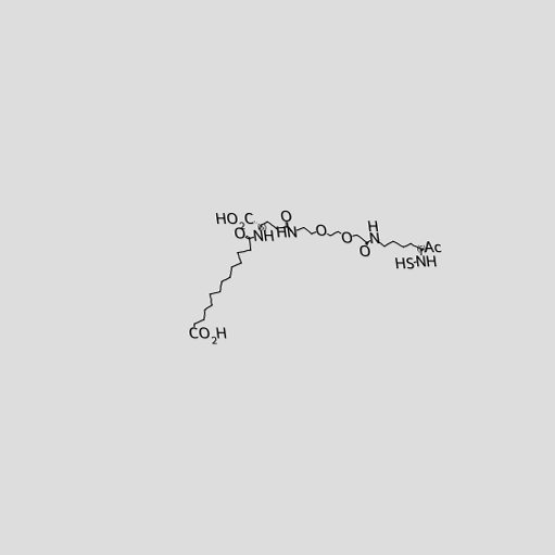 CC(=O)[C@H](CCCCNC(=O)COCCOCCNC(=O)CC[C@H](NC(=O)CCCCCCCCCCCCC(=O)O)C(=O)O)NS